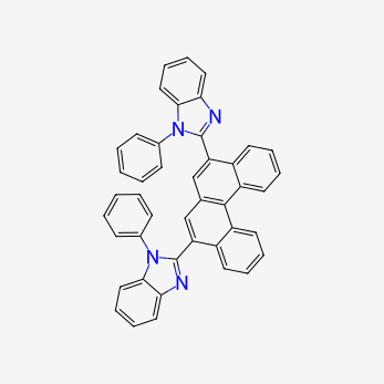 c1ccc(-n2c(-c3cc4cc(-c5nc6ccccc6n5-c5ccccc5)c5ccccc5c4c4ccccc34)nc3ccccc32)cc1